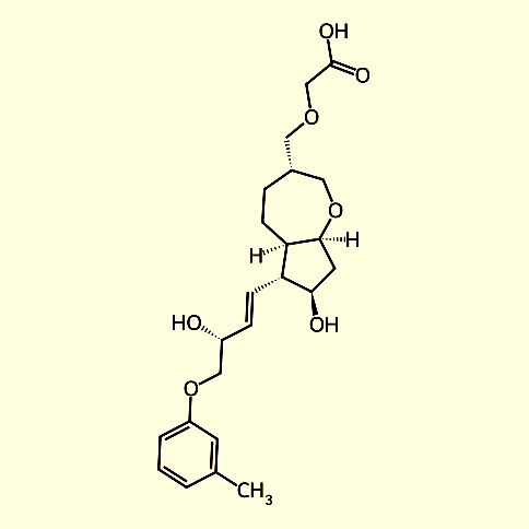 Cc1cccc(OC[C@H](O)C=C[C@@H]2[C@H]3CC[C@H](COCC(=O)O)CO[C@H]3C[C@H]2O)c1